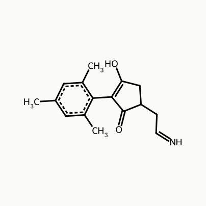 Cc1cc(C)c(C2=C(O)CC(CC=N)C2=O)c(C)c1